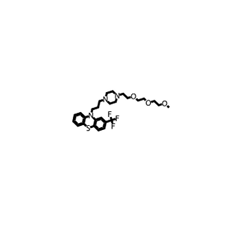 COCCOCCOCCN1CCN(CCCN2c3ccccc3Sc3ccc(C(F)(F)F)cc32)CC1